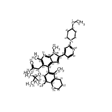 COC1CCN(c2cc(-c3cc4c(-c5cc(F)c6c(c5C)CCCO6)c([C@H](OC(C)(C)C)C(=O)O)c(C)nc4n3C)ccn2)CC1